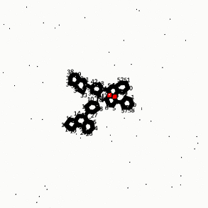 c1ccc(-c2ccc(N(c3ccc(-c4cc5ccccc5c5ccccc45)cc3)c3cc(-c4ccc5ccccc5c4)ccc3-c3ccc4ccccc4c3)cc2)cc1